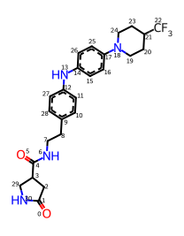 O=C1CC(C(=O)NCCc2ccc(Nc3ccc(N4CCC(C(F)(F)F)CC4)cc3)cc2)CN1